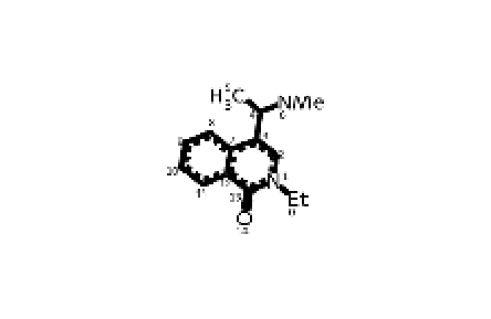 CCn1cc(C(C)NC)c2ccccc2c1=O